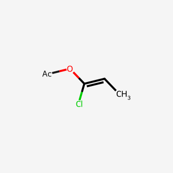 CC=C(Cl)OC(C)=O